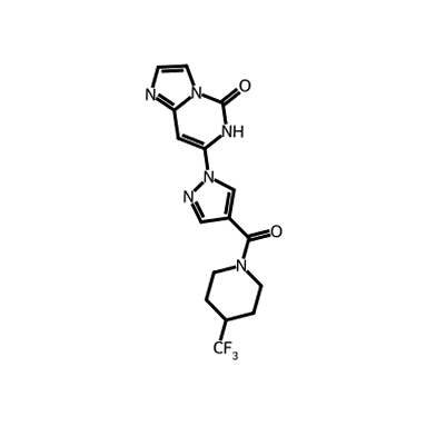 O=C(c1cnn(-c2cc3nccn3c(=O)[nH]2)c1)N1CCC(C(F)(F)F)CC1